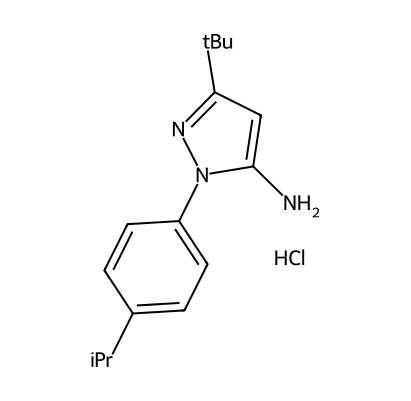 CC(C)c1ccc(-n2nc(C(C)(C)C)cc2N)cc1.Cl